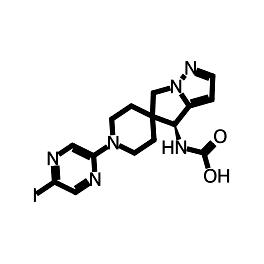 O=C(O)N[C@@H]1c2ccnn2CC12CCN(c1cnc(I)cn1)CC2